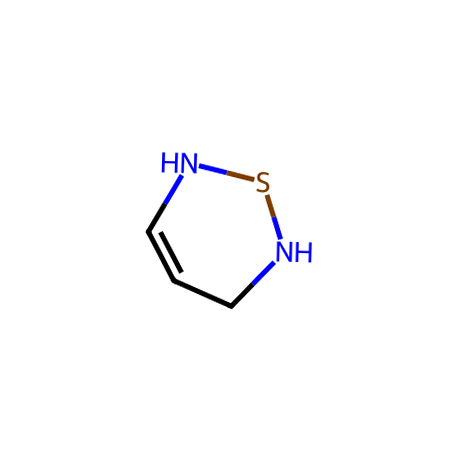 C1=CNSNC1